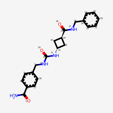 NC(=O)c1ccc(CNC(=O)N[C@H]2C[C@H](C(=O)NCc3ccccc3)C2)cc1